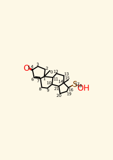 CC12CCC(=O)C=C1CCC1C2CCC2(C)C(SO)CCC12